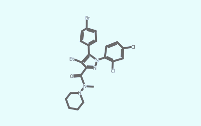 CCc1c(C(=O)N(C)N2CCCCC2)nn(-c2ccc(Cl)cc2Cl)c1-c1ccc(Br)cc1